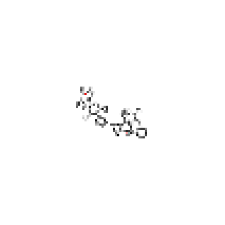 O=C(O)C(Cc1ccccc1)N(C(=O)c1cc(-c2cnn(-c3c(Cl)cc(C(F)(C(F)(F)F)C(F)(F)F)cc3Cl)c2)cnc1Cl)C1CC1